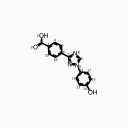 O=C(O)c1ccc(-c2ncn(-c3ccc(O)cc3)n2)cc1